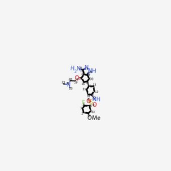 COc1ccc(F)c(S(=O)(=O)Nc2ccc(-c3cc(OCCN(C)C)c4c(N)n[nH]c4c3)cc2)c1